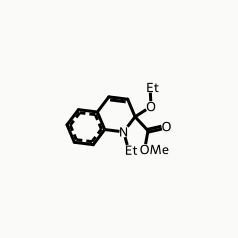 CCOC1(C(=O)OC)C=Cc2ccccc2N1CC